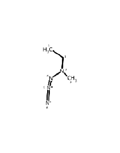 CCN(C)N=[N+]=[N-]